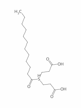 CCCCCCCCCCCC(=O)[SH](CCC(=O)O)CCC(=O)O